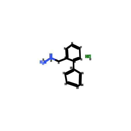 Cl.NNCc1ccccc1-c1ccccc1